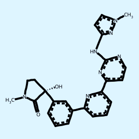 CN1CC[C@@](O)(c2cccc(-c3cccc(-c4ccnc(Nc5ccn(C)n5)n4)n3)c2)C1=O